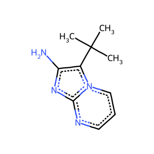 CC(C)(C)c1c(N)nc2ncccn12